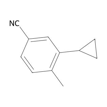 Cc1ccc(C#N)cc1C1CC1